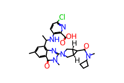 Cc1cc(C(C)Nc2ccc(Cl)nc2C(=O)O)c2nc(N3C[C@@H]4C(C(=O)N(C)C5CCC5)[C@@H]4C3)n(C)c(=O)c2c1